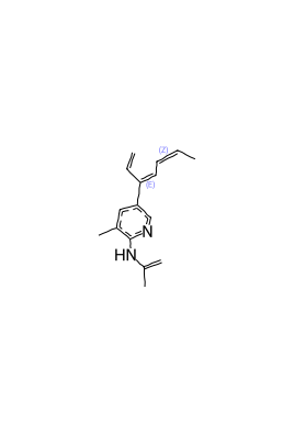 C=C/C(=C\C=C/C)c1cnc(NC(=C)C)c(C)c1